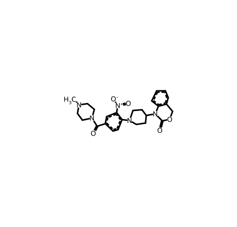 CN1CCN(C(=O)c2ccc(N3CCC(N4C(=O)OCc5ccccc54)CC3)c([N+](=O)[O-])c2)CC1